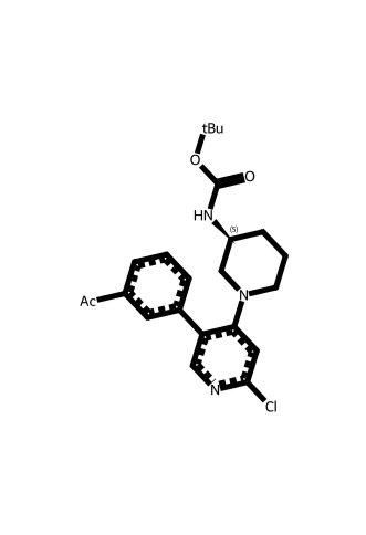 CC(=O)c1cccc(-c2cnc(Cl)cc2N2CCC[C@H](NC(=O)OC(C)(C)C)C2)c1